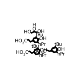 CCCc1cc(CCC(=O)O)cc(C(C)(C)C)c1O.CCCc1cc(CCC(=O)O)cc(C(C)(C)C)c1O.CCCc1cc(CCC(=O)O)cc(C(C)(C)C)c1O.OCC(O)CO